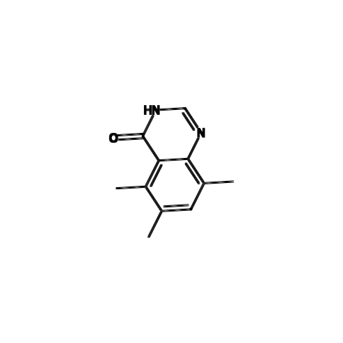 Cc1cc(C)c2nc[nH]c(=O)c2c1C